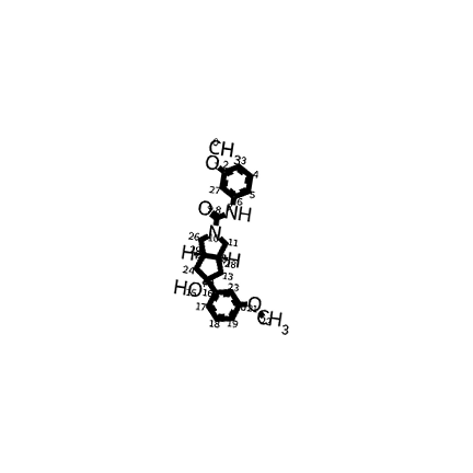 COc1cccc(NC(=O)N2C[C@@H]3C[C@@](O)(c4cccc(OC)c4)C[C@@H]3C2)c1